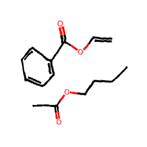 C=COC(=O)c1ccccc1.CCCCOC(C)=O